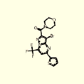 O=C(c1nn2c(C(F)(F)F)cc(-c3cccs3)nc2c1Br)N1CCOCC1